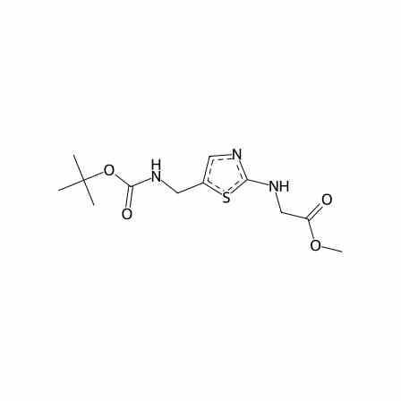 COC(=O)CNc1ncc(CNC(=O)OC(C)(C)C)s1